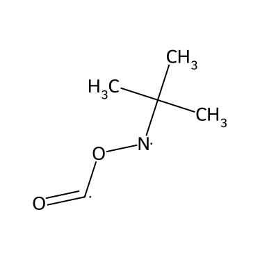 CC(C)(C)[N]O[C]=O